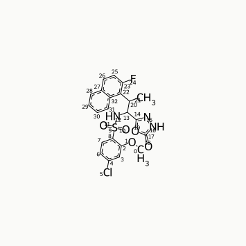 COc1cc(Cl)ccc1S(=O)(=O)NC(c1n[nH]c(=O)o1)C(C)c1c(F)ccc2ccccc12